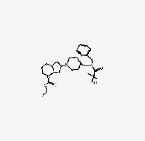 CCOC(=O)N1CCCC2CC(N3CCC4(CC3)CN(C(=O)C(C)(C)O)Cc3ccccc34)CC21